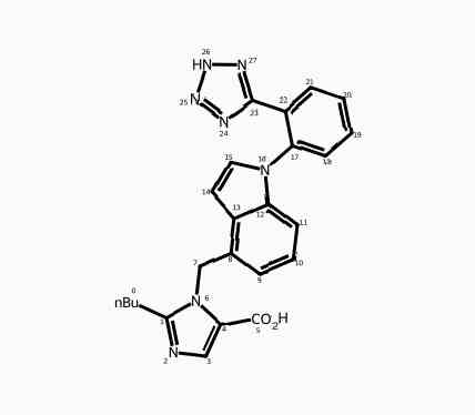 CCCCc1ncc(C(=O)O)n1Cc1cccc2c1ccn2-c1ccccc1-c1nn[nH]n1